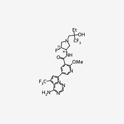 CCC(O)(CN1C[C@H](F)[C@H](NC(=O)c2cc(-c3cc(C(F)(F)F)c4c(N)ncnn34)cnc2OC)C1)C(F)(F)F